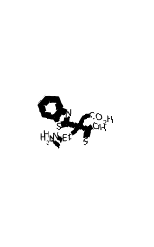 CCC(CC(=O)O)(C(O)=S)c1nc2ccccc2s1.CN.CN